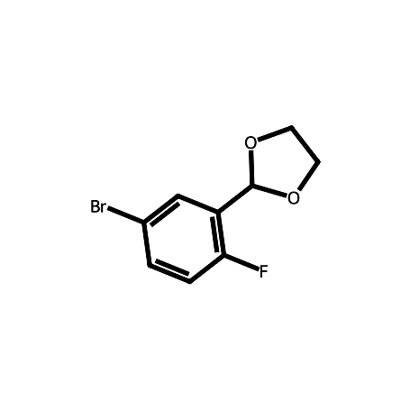 Fc1ccc(Br)cc1C1OCCO1